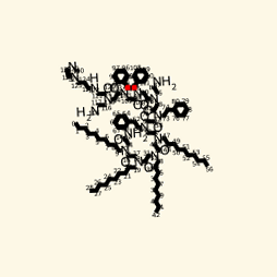 CCCCCCCCCCN(CC(N)=O)C(=O)CN(CCCCCCCCCC)C(=O)CN(CCCCCCCCCC)C(=O)CN(CCCCCCCCCC)C(=O)CN(CCc1ccccc1)C(=O)CN(CCc1ccccc1)C(=O)CN(CCN)C(=O)CN(CCc1ccccc1)C(=O)CN(CCc1ccccc1)C(=O)CN(CCN)C(=O)CNCCCn1ccnc1